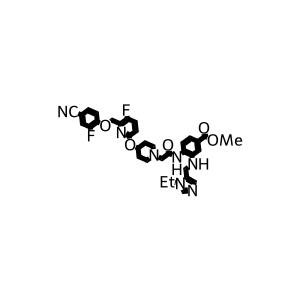 CCn1cncc1CNc1cc(C(=O)OC)ccc1NC(=O)CN1CCC(Oc2ccc(F)c(COc3ccc(C#N)cc3F)n2)CC1